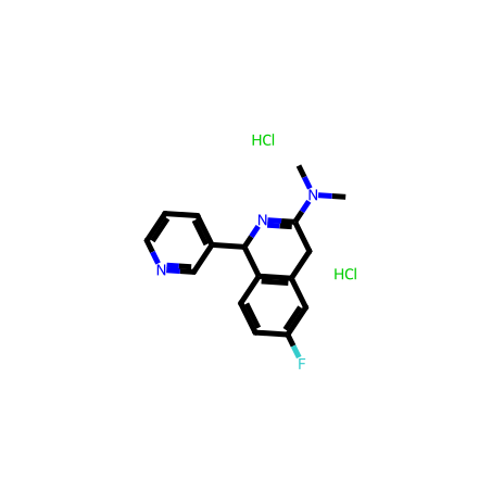 CN(C)C1=NC(c2cccnc2)c2ccc(F)cc2C1.Cl.Cl